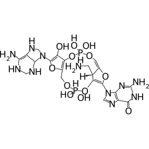 NC[C@H]1C2=C(n3cnc4c(=O)[nH]c(N)nc43)O/C1=C/O[PH](O)(O)Oc1c(oc(N3CNC4=C(N)NCNC43)c1O)CO[PH](O)(O)O2